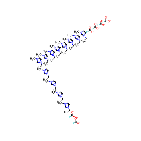 CCn1cc[n+](C)c1.CCn1cc[n+](C)c1.CCn1cc[n+](C)c1.CCn1cc[n+](C)c1.CCn1cc[n+](C)c1.CCn1cc[n+](C)c1.CCn1cc[n+](C)c1.CCn1cc[n+](C)c1.CCn1cc[n+](C)c1.CCn1cc[n+](C)c1.CCn1cc[n+](C)c1.CCn1cc[n+](C)c1.[O-]B([O-])F.[O-]B([O-])F.[O-]B([O-])F.[O-]B([O-])F.[O-]B([O-])F.[O-]B([O-])F